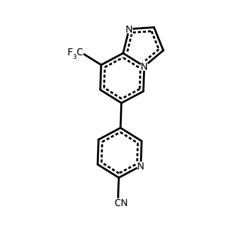 N#Cc1ccc(-c2cc(C(F)(F)F)c3nccn3c2)cn1